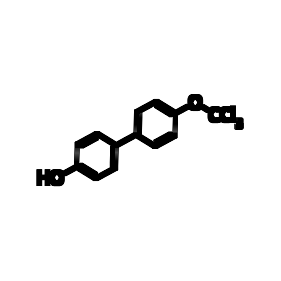 Oc1ccc(-c2ccc(OC(Cl)(Cl)Cl)cc2)cc1